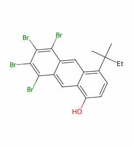 CCC(C)(C)c1ccc(O)c2cc3c(Br)c(Br)c(Br)c(Br)c3cc12